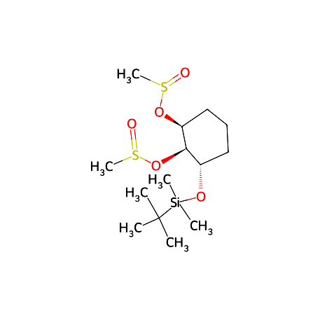 CS(=O)O[C@H]1[C@@H](OS(C)=O)CCC[C@@H]1O[Si](C)(C)C(C)(C)C